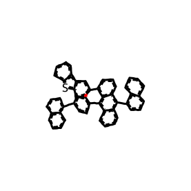 c1ccc2c(-c3ccc(-c4c5ccccc5c(-c5cccc6ccccc56)c5cccc(-c6ccc7sc8ccccc8c7c6)c45)cc3)cccc2c1